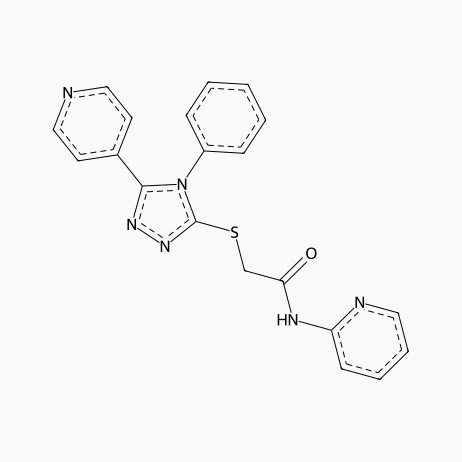 O=C(CSc1nnc(-c2ccncc2)n1-c1ccccc1)Nc1ccccn1